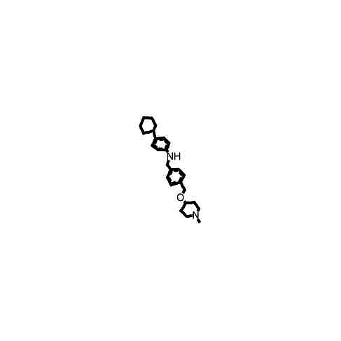 CN1CCC(OCc2ccc(CNc3ccc(C4CCCCC4)cc3)cc2)CC1